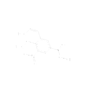 C/C=C\c1cc(C(=O)OC)cc([N+](=O)[O-])c1OC